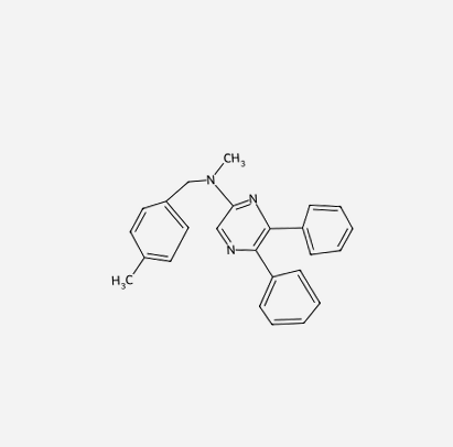 Cc1ccc(CN(C)c2cnc(-c3ccccc3)c(-c3ccccc3)n2)cc1